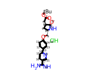 CC(C)(C)OC(=O)C[C@@H]1C[C@@H](COc2ccc(-c3ccc(C(=N)N)cn3)cc2)NC1=O.Cl